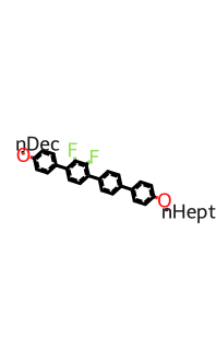 CCCCCCCCCCOc1ccc(-c2ccc(-c3ccc(-c4ccc(OCCCCCCC)cc4)cc3)c(F)c2F)cc1